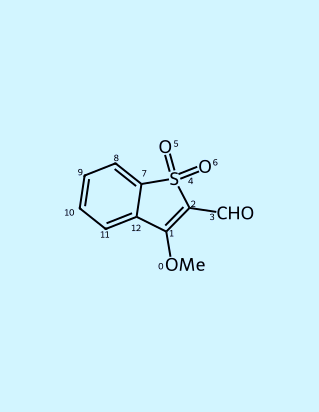 COC1=C(C=O)S(=O)(=O)c2ccccc21